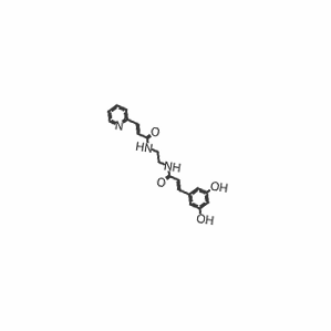 O=C(/C=C/c1cc(O)cc(O)c1)NCCNC(=O)/C=C/c1ccccn1